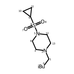 CCC(C)CN1CCN(S(=O)(=O)C2CC2)CC1